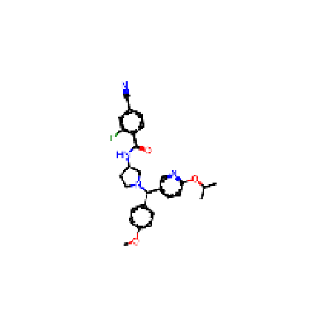 COc1ccc([C@H](c2ccc(OC(C)C)nc2)N2CCC(NC(=O)c3ccc(C#N)cc3F)C2)cc1